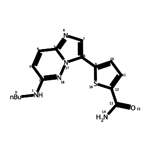 CCCCNc1ccc2ncc(-c3ccc(C(N)=O)s3)n2n1